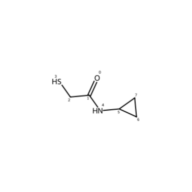 O=C(CS)NC1CC1